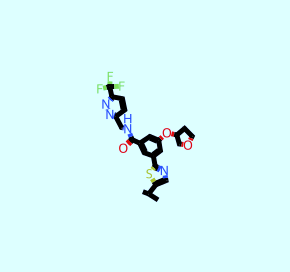 CC(C)c1cnc(-c2cc(OC3CCOC3)cc(C(=O)NCc3ccc(C(F)(F)F)nn3)c2)s1